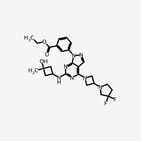 CCOC(=O)c1cccc(-n2ncc3c(N4CC(N5CCC(F)(F)C5)C4)nc(NC4CC(C)(O)C4)nc32)c1